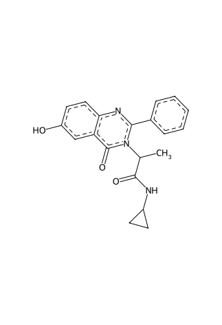 CC(C(=O)NC1CC1)n1c(-c2ccccc2)nc2ccc(O)cc2c1=O